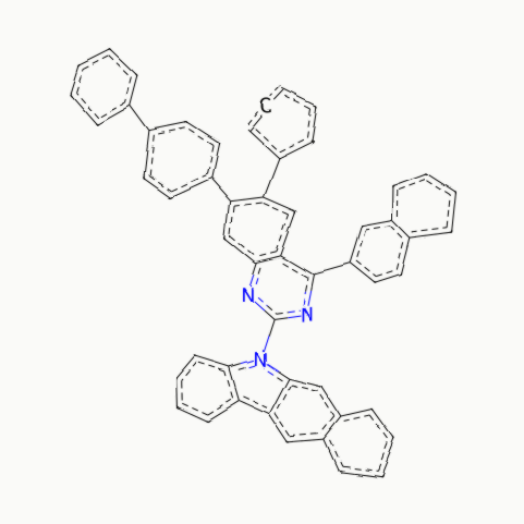 c1ccc(-c2ccc(-c3cc4nc(-n5c6ccccc6c6cc7ccccc7cc65)nc(-c5ccc6ccccc6c5)c4cc3-c3ccccc3)cc2)cc1